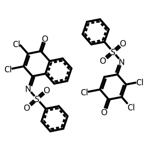 O=C1C(Cl)=C(Cl)/C(=N/S(=O)(=O)c2ccccc2)c2ccccc21.O=C1C(Cl)=C/C(=N\S(=O)(=O)c2ccccc2)C(Cl)=C1Cl